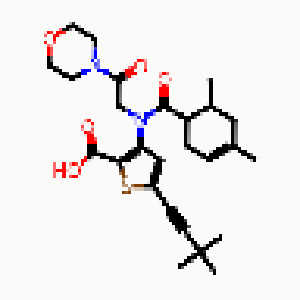 CC1=CCC(C(=O)N(CC(=O)N2CCOCC2)c2cc(C#CC(C)(C)C)sc2C(=O)O)[C@@H](C)C1